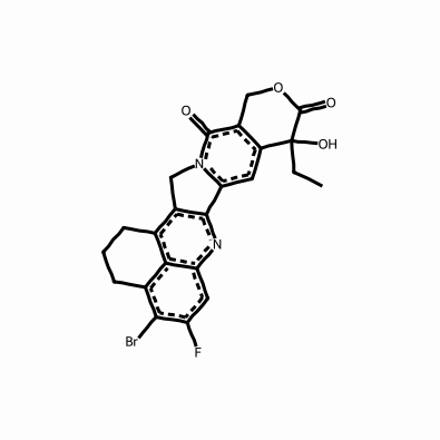 CCC1(O)C(=O)OCc2c1cc1n(c2=O)Cc2c-1nc1cc(F)c(Br)c3c1c2CCC3